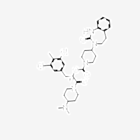 Cc1c(Cl)cc(C[C@@H](OC(=O)N2CCC(N3CCc4ccccc4NC3=O)CC2)C(=O)N2CCC(N(C)C)CC2)cc1Cl